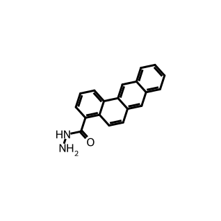 NNC(=O)c1cccc2c1ccc1cc3ccccc3cc12